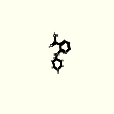 O=C(O)c1cccnc1NC1CCOCC1